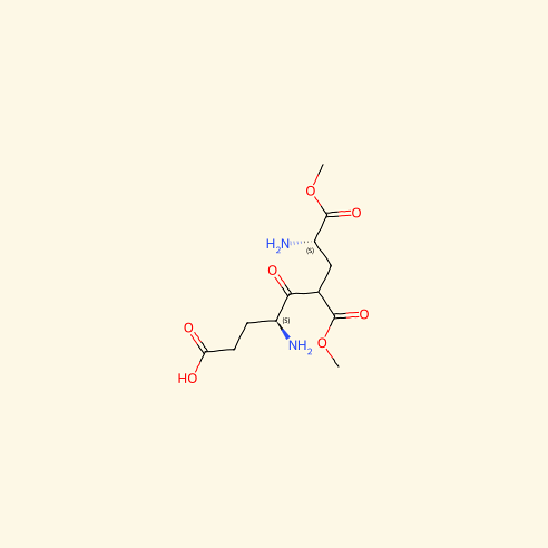 COC(=O)C(C[C@H](N)C(=O)OC)C(=O)[C@@H](N)CCC(=O)O